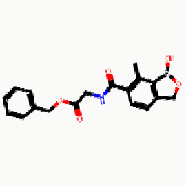 Cc1c(C(=O)NCC(=O)OCc2ccccc2)ccc2c1B(O)OC2